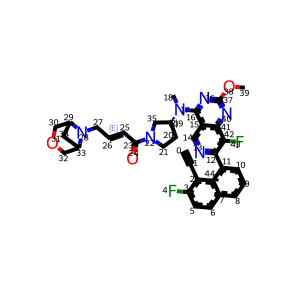 C#Cc1c(F)ccc2cccc(-c3ncc4c(N(C)[C@@H]5CCN(C(=O)/C=C/CN6C7COCC6C7)C5)nc(OC)nc4c3F)c12